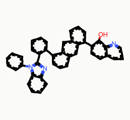 Oc1c(-c2cccc3cc4c(-c5ccccc5-c5nc6ccccc6n5-c5ccccc5)cccc4cc23)ccc2cccnc12